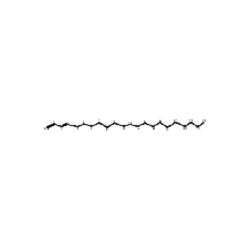 [C]=CC=CCCCCCCCCCCCCCCCCCC